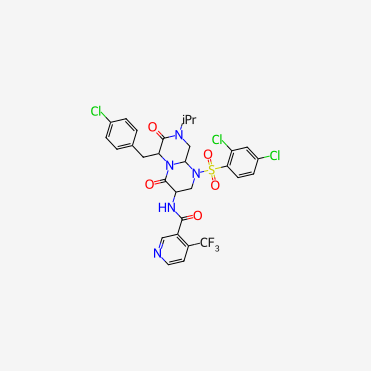 CC(C)N1CC2N(C(=O)C(NC(=O)c3cnccc3C(F)(F)F)CN2S(=O)(=O)c2ccc(Cl)cc2Cl)C(Cc2ccc(Cl)cc2)C1=O